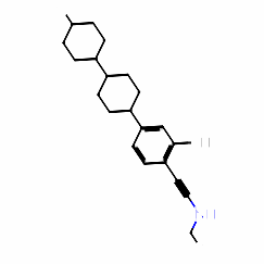 CCNC#Cc1ccc(C2CCC(C3CCC(C)CC3)CC2)cc1C